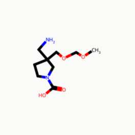 COCOCC1(CN)CCN(C(=O)O)C1